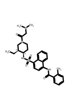 CC[C@H]1CN(C(=O)CN(C)C)CC[C@H]1NS(=O)(=O)c1ccc(NC(=O)c2ccccc2C)c2ccccc12